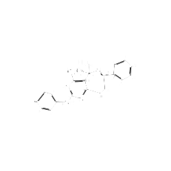 Cc1nc(Nc2ccccc2)nc2c1C(C)(C)N=C(c1ccccc1)CC2